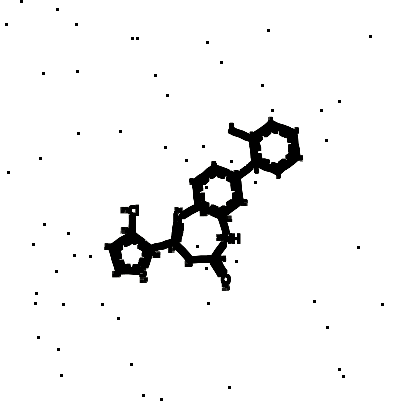 Cc1ccccc1-c1ccc2c(c1)NC(=O)CC(c1sccc1Cl)=N2